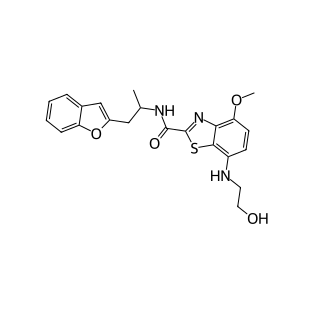 COc1ccc(NCCO)c2sc(C(=O)NC(C)Cc3cc4ccccc4o3)nc12